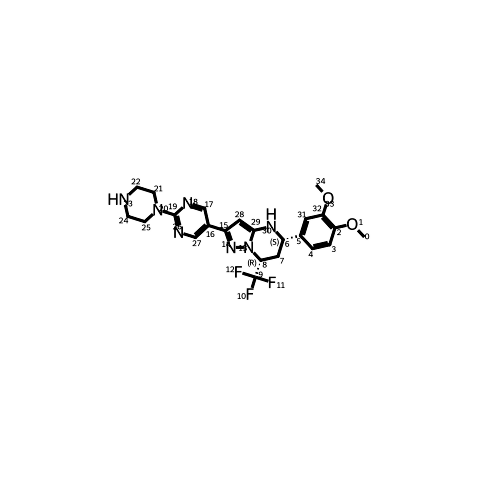 COc1ccc([C@@H]2C[C@H](C(F)(F)F)n3nc(-c4cnc(N5CCNCC5)nc4)cc3N2)cc1OC